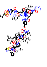 CC[C@H](C)[C@@H]([C@@H](CC(=O)N1CCC[C@H]1[C@H](OC)[C@@H](C)C(=O)N[C@@H](Cc1ccccc1)c1nccs1)OC)N(C)C(=O)[C@@H](NC(=O)C(C)(C)NC(=O)OCc1ccc(NC(=O)[C@H](CCCNC(N)=O)NC(=O)[C@@H](NC(=O)[C@H](CCCNC(=O)c2cnc(S(C)(=O)=O)nc2)NC(C)=O)C(C)C)cc1)C(C)C